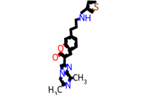 Cc1cn2cc(-c3cc4ccc(CCCNCc5ccsc5)cc4oc3=O)nc2c(C)n1